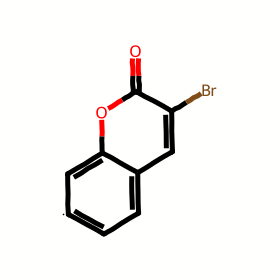 O=c1oc2c[c]ccc2cc1Br